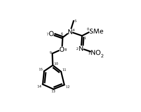 CSC(=N[N+](=O)[O-])N(C)C(=O)OCc1ccccc1